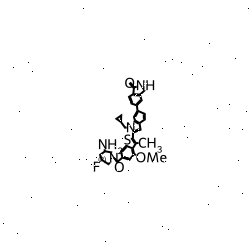 COc1cc(C(=O)N2CC(N)C[C@@H](F)C2)cc2sc(-c3cc4ccc(-c5ccc6c(c5)CNC6=O)cc4n3CC3CC3)c(C)c12